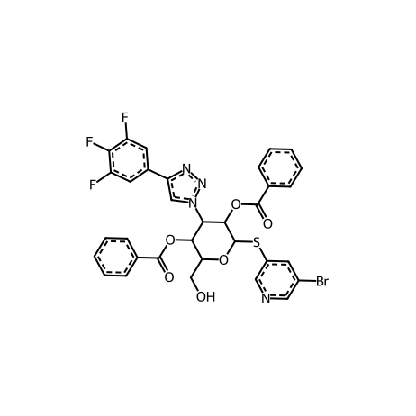 O=C(OC1C(CO)OC(Sc2cncc(Br)c2)C(OC(=O)c2ccccc2)C1n1cc(-c2cc(F)c(F)c(F)c2)nn1)c1ccccc1